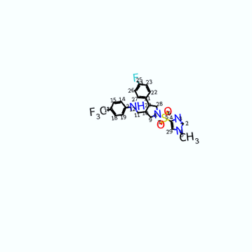 Cn1cnc(S(=O)(=O)N2CC(CNc3ccc(C(F)(F)F)cc3)C(c3ccc(F)cc3)C2)c1